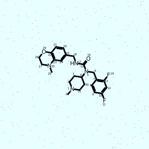 CN1CCC(N(Cc2ccc(F)cc2F)C(=O)NCc2ccc3c(c2)N(C)CCO3)CC1